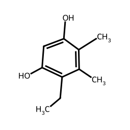 CCc1c(O)cc(O)c(C)c1C